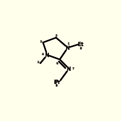 CCN1CCN(C)/C1=N\C(C)C